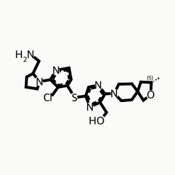 C[C@H]1CC2(CCN(c3ncc(Sc4ccnc(N5CCCC5CN)c4Cl)nc3CO)CC2)CO1